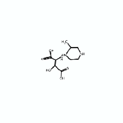 CC1CNCCN1.O=C(O)C(O)C(O)C(=O)O